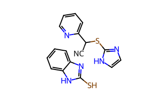 N#CC(Sc1ncc[nH]1)c1ccccn1.Sc1nc2ccccc2[nH]1